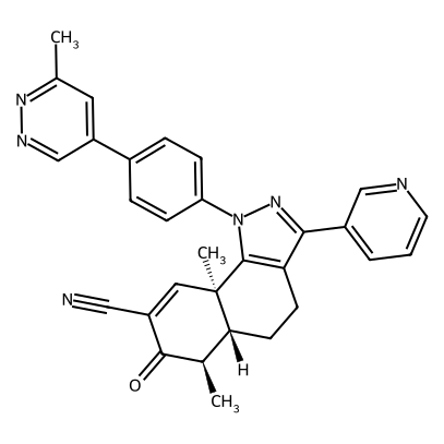 Cc1cc(-c2ccc(-n3nc(-c4cccnc4)c4c3[C@]3(C)C=C(C#N)C(=O)[C@H](C)[C@H]3CC4)cc2)cnn1